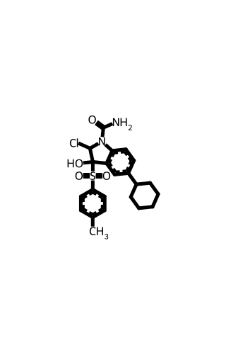 Cc1ccc(S(=O)(=O)C2(O)c3cc(C4CCCCC4)ccc3N(C(N)=O)C2Cl)cc1